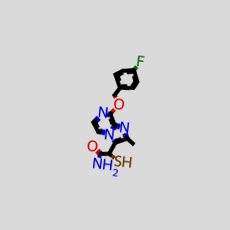 Cc1nc2c(OCc3ccc(F)cc3)nccn2c1C(S)C(N)=O